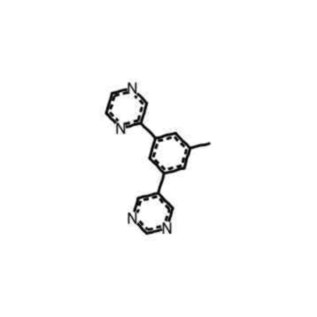 Cc1cc(-c2cncnc2)cc(-c2cnccn2)c1